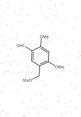 COCc1cc(C=O)c(OC)cc1OC